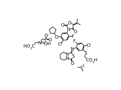 CC(C)=C1OC(=O)N(c2cc(OC3CCCC3)c(Cl)cc2F)C1=O.C[S+](C)C.O=C(O)CNCP(=O)([O-])O.O=C(O)CSc1cc(N=c2sc(=O)n3n2CCCC3)c(F)cc1Cl